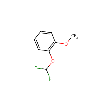 FC(F)Oc1[c]cccc1OC(F)(F)F